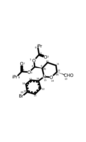 CC(C)C(=O)OC(OC(=O)C(C)C)[C@H]1CC[C@H](C=O)ON1c1ccc(Br)cc1